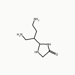 NCCC(CN)C1NCC(=O)N1